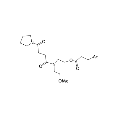 COCCN(CCOC(=O)CCC(C)=O)C(=O)CCC(=O)N1CCCC1